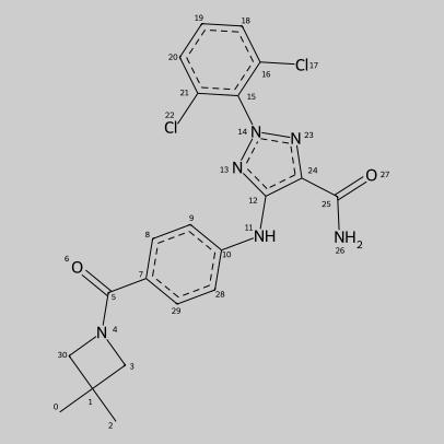 CC1(C)CN(C(=O)c2ccc(Nc3nn(-c4c(Cl)cccc4Cl)nc3C(N)=O)cc2)C1